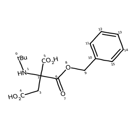 CC(C)(C)NC(CC(=O)O)(C(=O)O)C(=O)OCc1ccccc1